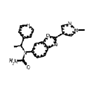 CC(c1ccncc1)N(C(N)=O)c1ccc2nc(-c3cnn(C)c3)oc2c1